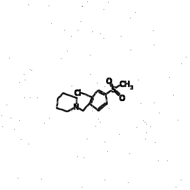 CS(=O)(=O)c1ccc(CN2CCCCC2)c(Cl)c1